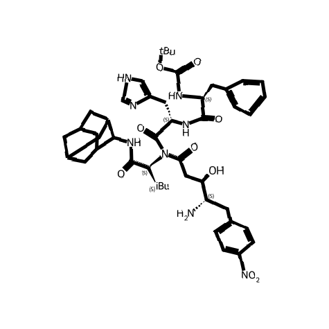 CC[C@H](C)[C@@H](C(=O)NC1C2CC3CC(C2)CC1C3)N(C(=O)CC(O)[C@@H](N)Cc1ccc([N+](=O)[O-])cc1)C(=O)[C@H](Cc1c[nH]cn1)NC(=O)[C@H](Cc1ccccc1)NC(=O)OC(C)(C)C